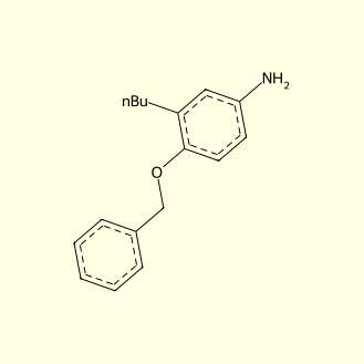 CCCCc1cc(N)ccc1OCc1ccccc1